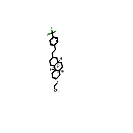 CCC[C@@H]1CC[C@H]2[C@H](CC[C@H]3CC(CCc4ccc(C(F)(F)F)cc4)CC[C@@H]32)C1